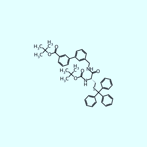 CC(C)(C)OC(=O)N[C@@H](CSC(c1ccccc1)(c1ccccc1)c1ccccc1)C(=O)NCc1cccc(-c2cccc(C(=O)OC(C)(C)C)c2)c1